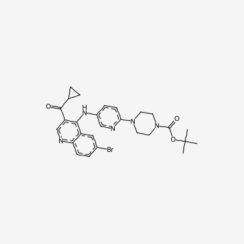 CC(C)(C)OC(=O)N1CCN(c2ccc(Nc3c(C(=O)C4CC4)cnc4ccc(Br)cc34)cn2)CC1